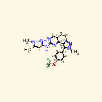 CN/C(C)=C\C(=N)Nc1ncc2c(n1)-c1c(nn(C)c1-c1ccc(OC(F)F)cc1)CC2